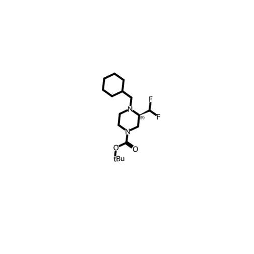 CC(C)(C)OC(=O)N1CCN(CC2CCCCC2)[C@@H](C(F)F)C1